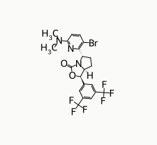 CN(C)c1ccc(Br)c([C@@H]2CC[C@H]3[C@@H](c4cc(C(F)(F)F)cc(C(F)(F)F)c4)OC(=O)N23)n1